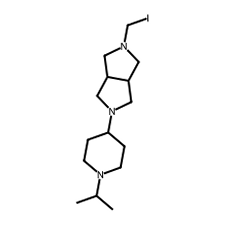 CC(C)N1CCC(N2CC3CN(CI)CC3C2)CC1